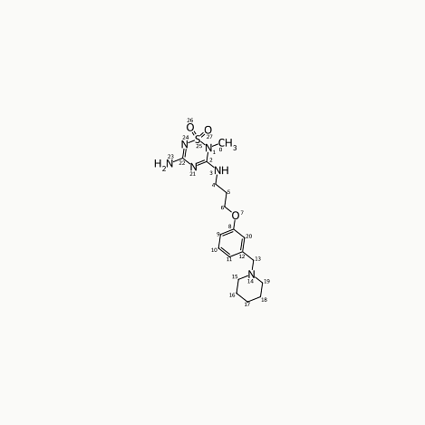 CN1C(NCCCOc2cccc(CN3CCCCC3)c2)=NC(N)=NS1(=O)=O